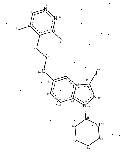 Cc1cnnc(C)c1CCOc1ccc2c(c1)c(I)nn2C1CCCCO1